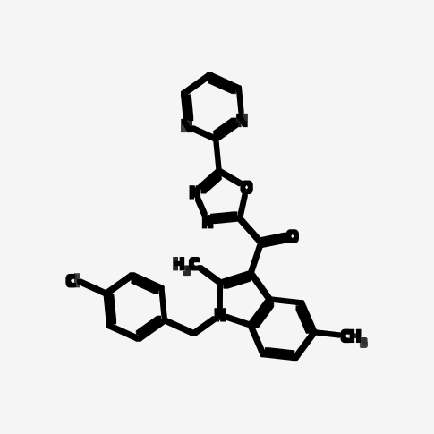 Cc1ccc2c(c1)c(C(=O)c1nnc(-c3ncccn3)o1)c(C)n2Cc1ccc(Cl)cc1